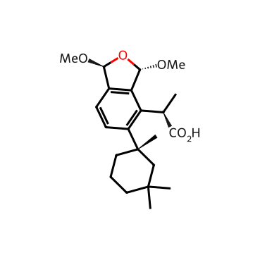 CO[C@H]1O[C@H](OC)c2c1ccc([C@@]1(C)CCCC(C)(C)C1)c2[C@@H](C)C(=O)O